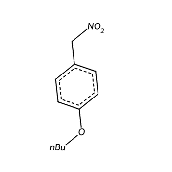 CCCCOc1ccc(C[N+](=O)[O-])cc1